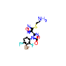 NCCSc1nonc1-c1noc(=O)n1-c1ccc(F)c(Br)c1F